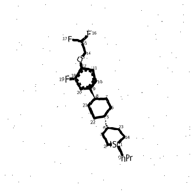 CCC[SiH]1CCC([C@H]2CC[C@H](c3ccc(OCC(F)F)c(F)c3)CC2)CC1